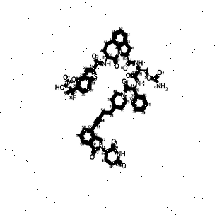 NC(=O)OC[C@H](NC(=O)[C@@H]1Cc2cccc3c2N1C(=O)[C@@H](NC(=O)c1cc2cc(C(F)(F)P(=O)(O)O)ccc2s1)CC3)C(=O)N[C@H](C(=O)N1CCC(CCC#Cc2cccc3c2CN(C2CCC(=O)NC2=O)C3=O)CC1)c1ccccc1